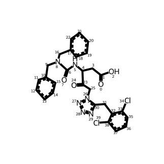 O=C(O)CC(NC(=O)N(Cc1ccccc1)Cc1ccccc1)C(=O)Cn1nnnc1Cc1c(Cl)cccc1Cl